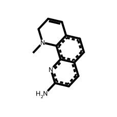 CN1CC=Cc2ccc3ccc(N)nc3c21